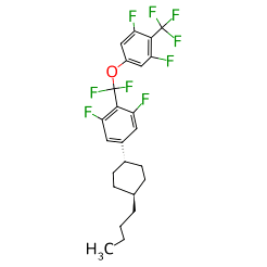 CCCC[C@H]1CC[C@H](c2cc(F)c(C(F)(F)Oc3cc(F)c(C(F)(F)F)c(F)c3)c(F)c2)CC1